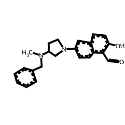 CN(Cc1ccccc1)C1CCN(c2ccc3c(C=O)c(O)ccc3c2)C1